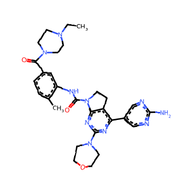 CCN1CCN(C(=O)c2ccc(C)c(NC(=O)N3CCc4c(-c5cnc(N)nc5)nc(N5CCOCC5)nc43)c2)CC1